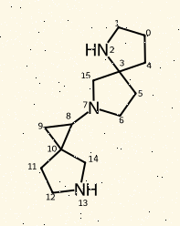 C1CNC2(C1)CCN(C1CC13CCNC3)C2